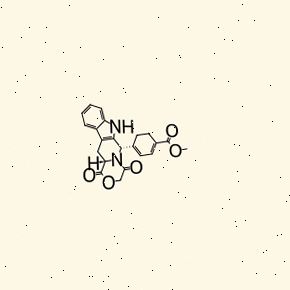 COC(=O)C1=CC=C([C@H]2c3[nH]c4ccccc4c3C[C@H]3C(=O)OCC(=O)N32)CC1